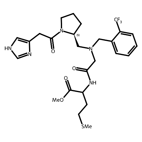 COC(=O)C(CCSC)NC(=O)CN(Cc1ccccc1C(F)(F)F)C[C@@H]1CCCN1C(=O)Cc1c[nH]cn1